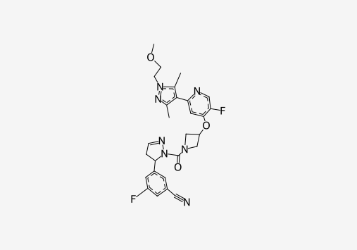 COCCn1nc(C)c(-c2cc(OC3CN(C(=O)N4N=CCC4c4cc(F)cc(C#N)c4)C3)c(F)cn2)c1C